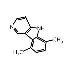 Cc1ccc(C)c2c1[nH]c1ccncc12